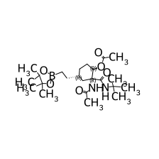 CC(=O)N[C@]1(C(=O)NC(C)(C)C)C[C@H](CCB2OC(C)(C)C(C)(C)O2)CC[C@H]1OC(C)=O